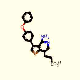 Nc1ncc(C=CC(=O)O)c2scc(-c3ccc(Oc4ccccc4)cc3)c12